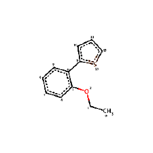 CCOc1ccccc1-c1cc[c]s1